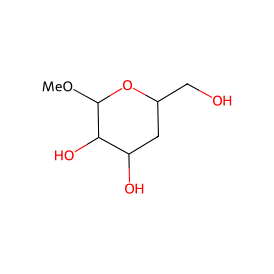 [CH2]OC1OC(CO)CC(O)C1O